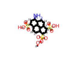 COOS(=O)(=O)c1cc(S(=O)(=O)O)c2ccc3c(N)cc(S(=O)(=O)O)c4ccc1c2c34